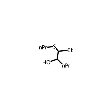 CCCSC(CC)C(O)CCC